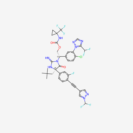 CC(C)(C)C[C@]1(c2ccc(C#Cc3cnn(C(F)F)c3)c(F)c2)NC(=N)N([C@H](COC(=O)NC2(C(F)(F)F)CC2)c2ccc(Cl)c(-n3ncnc3C(F)F)c2)C1=O